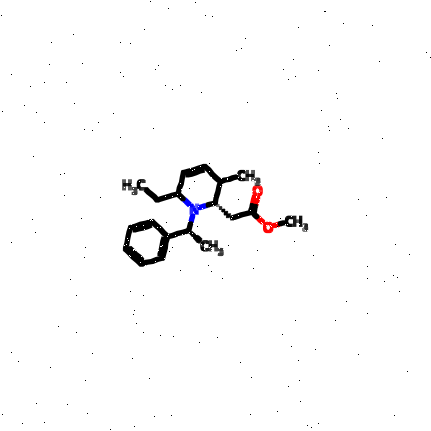 CCC1C=CC(C)[C@H](CC(=O)OC)N1[C@@H](C)c1ccccc1